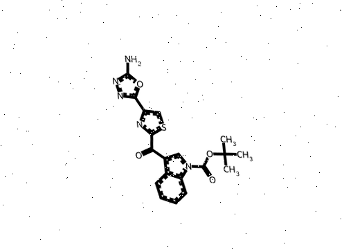 CC(C)(C)OC(=O)n1cc(C(=O)c2nc(-c3nnc(N)o3)cs2)c2ccccc21